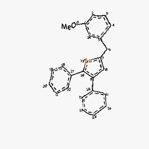 COc1cccc(Cc2cc(-c3ccccc3)c(-c3ccccc3)s2)c1